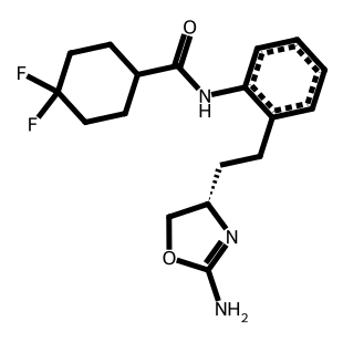 NC1=N[C@@H](CCc2ccccc2NC(=O)C2CCC(F)(F)CC2)CO1